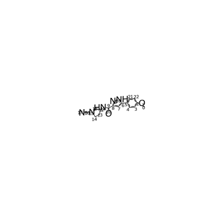 COc1ccc(-c2cc(C(=O)NC3CCN(C#N)C3)n[nH]2)cc1